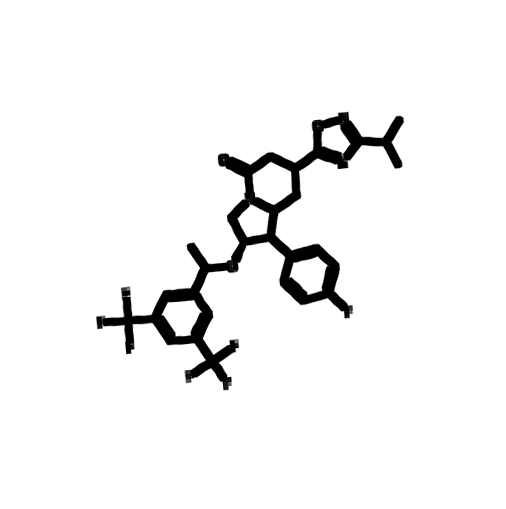 CC(C)c1noc(C2CC(=O)N3C[C@H](OC(C)c4cc(C(F)(F)F)cc(C(F)(F)F)c4)C(c4ccc(F)cc4)C3C2)n1